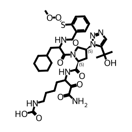 COOSc1ccccc1C(=O)NC(CC1CCCCC1)C(=O)N1C[C@@H](n2nncc2C(C)(C)O)C[C@H]1C(=O)NC(CCCCNC(=O)O)C(=O)C(N)=O